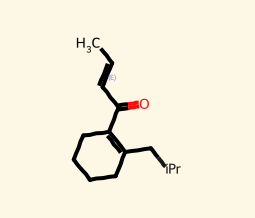 C/C=C/C(=O)C1=C(CC(C)C)CCCC1